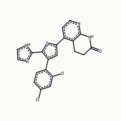 O=C1CCc2c(-c3cc(-c4ccc(Cl)cc4Cl)c(-c4ncc[nH]4)s3)ccnc2N1